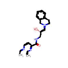 C=C\N=C(/C=C\N=C\C)C(=O)NC[C@H](O)CN1CCc2ccccc2C1